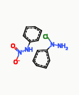 NN(Cl)c1ccccc1.O=[N+]([O-])Nc1ccccc1